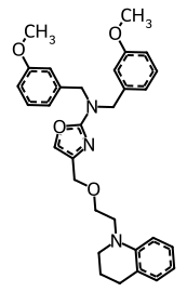 COc1cccc(CN(Cc2cccc(OC)c2)c2nc(COCCN3CCCc4ccccc43)co2)c1